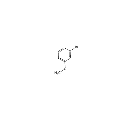 COc1cc[c]c(Br)c1